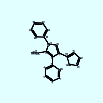 CCCCCCc1c(-c2ccccn2)c(-c2cccs2)cn1-c1ccccc1